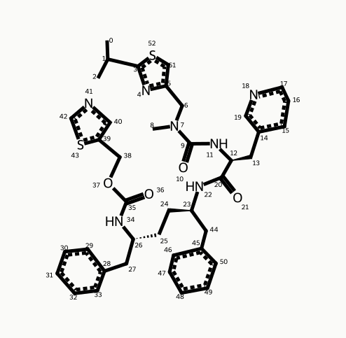 CC(C)c1nc(CN(C)C(=O)N[C@@H](Cc2cccnc2)C(=O)N[C@H](CC[C@H](Cc2ccccc2)NC(=O)OCc2cncs2)Cc2ccccc2)cs1